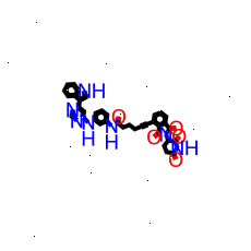 O=C1CCC(N2C(=O)c3cccc(C#CCCCC(=O)Nc4cccc(Nc5cc(-c6c[nH]c7ccccc67)ncn5)c4)c3C2=O)C(=O)N1